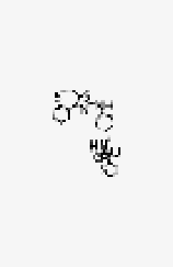 O=S(=O)(NC[C@H]1CC[C@@H](Nc2nc3c(s2)CCSc2ccccc2-3)CC1)c1cccs1